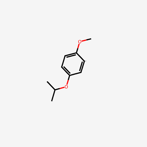 COc1[c]cc(OC(C)C)cc1